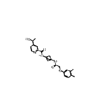 Cc1ccc(OCC(=O)NC23CC(NC(=O)c4cc(C(C)O)ccn4)(C2)C3)cc1C